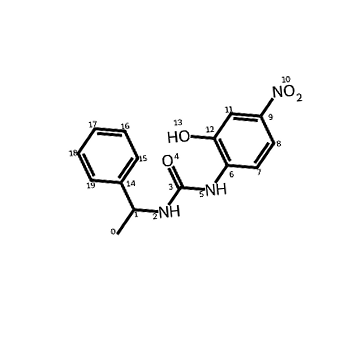 CC(NC(=O)Nc1ccc([N+](=O)[O-])cc1O)c1ccccc1